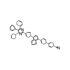 N#CC1C=CC(C2C=CC(c3ccc(C4C=CC(c5nc(C6=CC=CCC6)c(-c6ccccc6)c(C6CC=CCC6)n5)=CC4)c4ccccc34)=CC2)=CC1